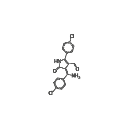 N/C(=C1/C(=O)NC(c2ccc(Cl)cc2)=C1C=O)c1ccc(Cl)cc1